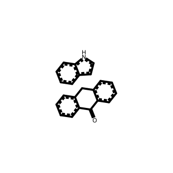 O=C1c2ccccc2Cc2ccccc21.c1ccc2[nH]ccc2c1